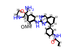 C=CC(=O)Nc1cccc(-c2cccc3cnc(Nc4ccc(C5(CN)CNCCO5)cc4OC)nc23)c1